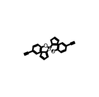 C#Cc1ccc([O][Zr]([O]c2ccc(C#C)cc2)([C]2=CC=CC2)[C]2=CC=CC2)cc1